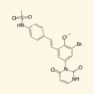 COc1c(Br)cc(-n2c(=O)cc[nH]c2=O)cc1/C=C/c1ccc(NS(C)(=O)=O)cc1